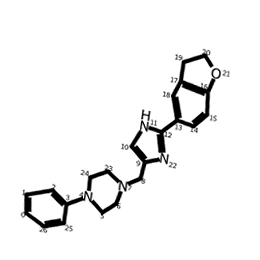 c1ccc(N2CCN(Cc3c[nH]c(-c4ccc5c(c4)CCO5)n3)CC2)cc1